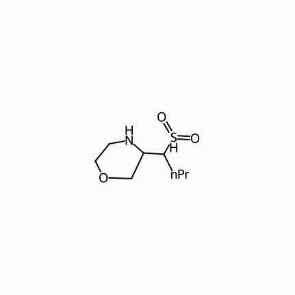 CCCC(C1COCCN1)[SH](=O)=O